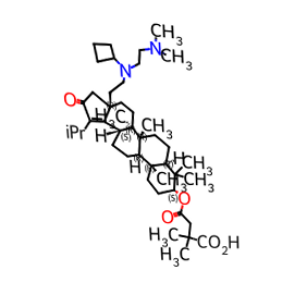 CC(C)C1=C2[C@H]3CC[C@@H]4[C@@]5(C)CC[C@H](OC(=O)CC(C)(C)C(=O)O)C(C)(C)[C@@H]5CC[C@@]4(C)[C@]3(C)CC[C@@]2(CCN(CCN(C)C)C2CCC2)CC1=O